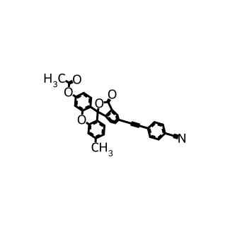 CC(=O)Oc1ccc2c(c1)Oc1cc(C)ccc1C21OC(=O)c2cc(C#Cc3ccc(C#N)cc3)ccc21